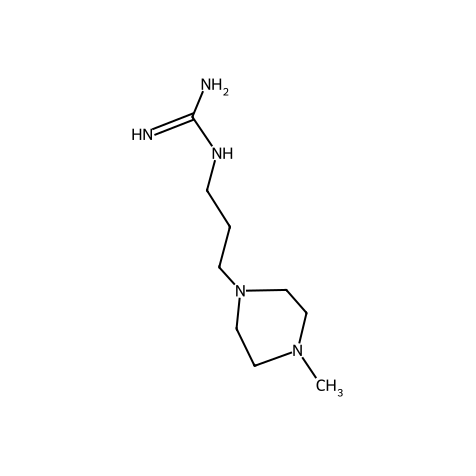 CN1CCN(CCCNC(=N)N)CC1